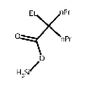 CCCC(CC)(CCC)C(=O)O[SiH3]